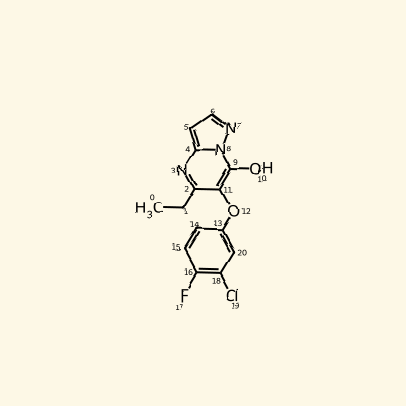 CCc1nc2ccnn2c(O)c1Oc1ccc(F)c(Cl)c1